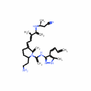 C=C/C=C\c1c(NC(=C)N2C(=C)/C(=C\C=C(/C)C(=C)N[C@@H](C)CC#N)CCC2CCN)n[nH]c1C